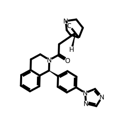 O=C(C[C@@H]1CN2CCC1CC2)N1CCc2ccccc2[C@@H]1c1ccc(-n2cncn2)cc1